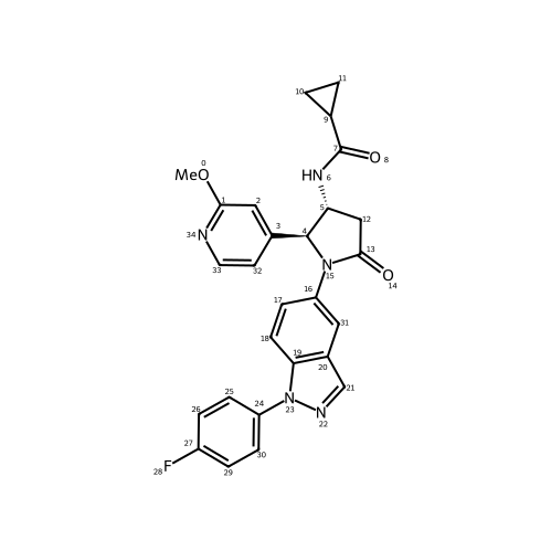 COc1cc([C@H]2[C@H](NC(=O)C3CC3)CC(=O)N2c2ccc3c(cnn3-c3ccc(F)cc3)c2)ccn1